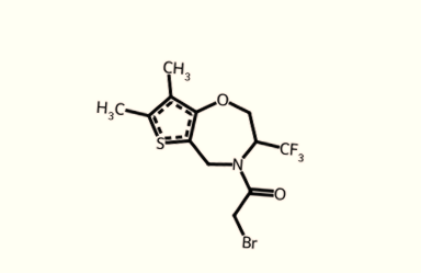 Cc1sc2c(c1C)OCC(C(F)(F)F)N(C(=O)CBr)C2